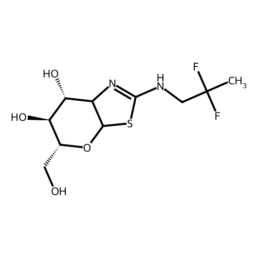 CC(F)(F)CNC1=NC2C(O[C@H](CO)[C@@H](O)[C@@H]2O)S1